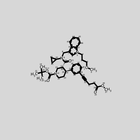 COCCCn1cc(CN(C(=O)[C@H]2CN(C(=O)OC(C)(C)C)CC[C@@H]2c2cccc(C#CCCC(=O)OC)c2)C2CC2)c2ccccc21